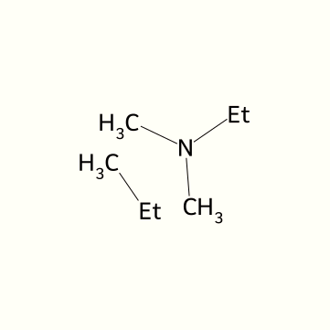 CCC.CCN(C)C